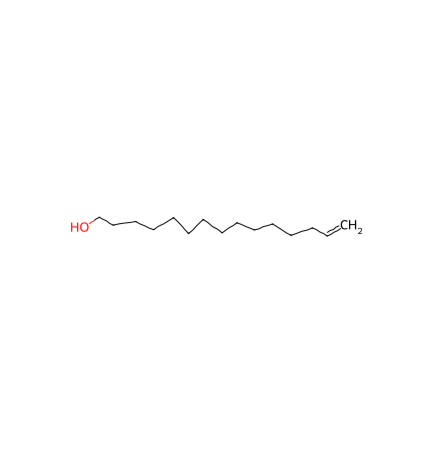 C=CCCCCCCCCCCCCCO